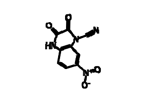 N#Cn1c(=O)c(=O)[nH]c2ccc([N+](=O)[O-])cc21